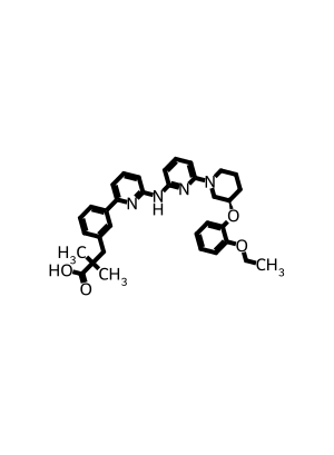 CCOc1ccccc1O[C@@H]1CCCN(c2cccc(Nc3cccc(-c4cccc(CC(C)(C)C(=O)O)c4)n3)n2)C1